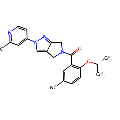 C[C@H](Oc1ccc(C#N)cc1C(=O)N1Cc2cn(-c3ccnc(C#N)c3)nc2C1)C(F)(F)F